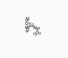 CCc1c(OC)cc(C(=O)N2CCN(C(=O)CNc3c(-c4ccc(OC(F)(F)F)cc4)nc4cnccn34)CC2)cc1OC